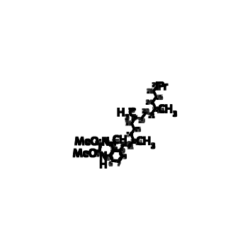 COC1=C(OC)Nc2cccc(CCC(C)CCCC(C)CCCC(C)CCCC(C)C)c2C(C)=N1